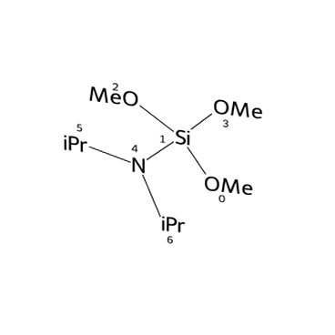 CO[Si](OC)(OC)N(C(C)C)C(C)C